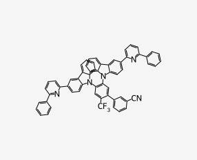 N#Cc1cccc(-c2cc(-n3c4ccccc4c4cc(-c5cccc(-c6ccccc6)n5)ccc43)c(-n3c4ccccc4c4cc(-c5cccc(-c6ccccc6)n5)ccc43)cc2C(F)(F)F)c1